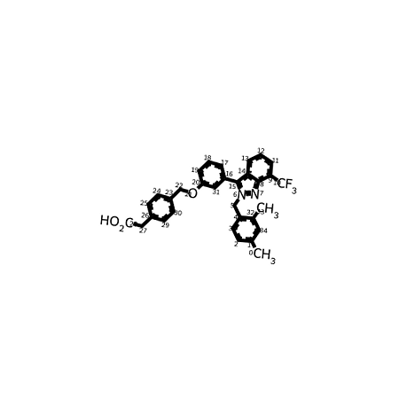 Cc1ccc(Cn2nc3c(C(F)(F)F)cccc3c2-c2cccc(OCc3ccc(CC(=O)O)cc3)c2)c(C)c1